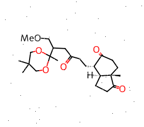 COCC(CC(=O)CC[C@@H]1C(=O)CC[C@]2(C)C(=O)CC[C@@H]12)C1(C)OCC(C)(C)CO1